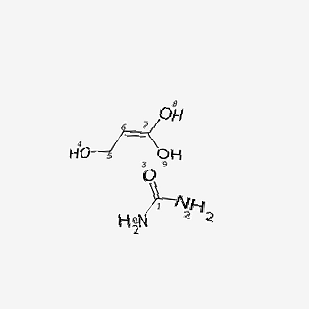 NC(N)=O.OCC=C(O)O